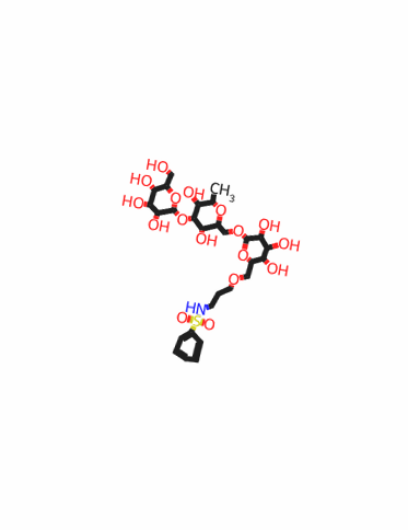 CC1OC(COC2OC(COCCCNS(=O)(=O)c3ccccc3)C(O)C(O)C2O)C(O)C(OC2OC(CO)C(O)C(O)C2O)C1O